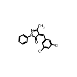 CC1=NN(c2ccccc2)C(=O)C1=Cc1cc(Cl)cc(Cl)c1